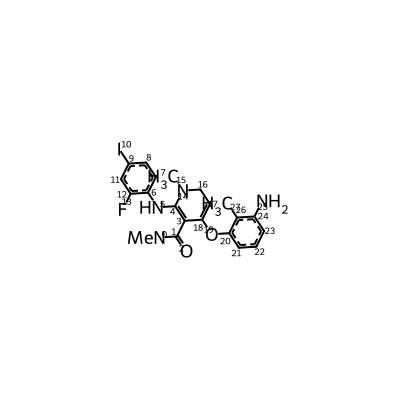 CNC(=O)C1=C(Nc2ccc(I)cc2F)N(C)CC=C1Oc1cccc(N)c1C